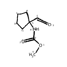 COC(=O)NC1(C=O)CCCC1